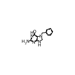 Nc1nc2c(c(=O)[nH]1)N(Cc1ccccc1)CN2